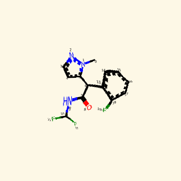 Cn1nccc1C(C(=O)NC(F)F)c1ccccc1F